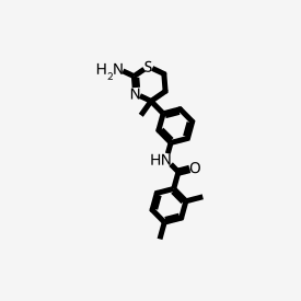 Cc1ccc(C(=O)Nc2cccc(C3(C)CCSC(N)=N3)c2)c(C)c1